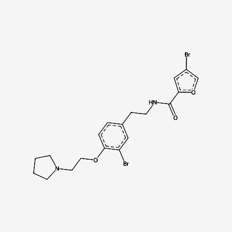 O=C(NCCc1ccc(OCCN2CCCC2)c(Br)c1)c1cc(Br)co1